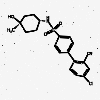 C[C@]1(O)CC[C@H](NS(=O)(=O)c2ccc(-c3ccc(Cl)cc3C#N)cc2)CC1